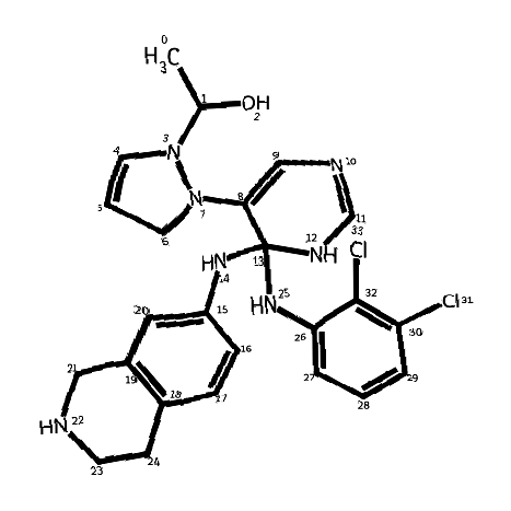 CC(O)N1C=CCN1C1=CN=CNC1(Nc1ccc2c(c1)CNCC2)Nc1cccc(Cl)c1Cl